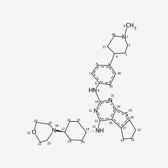 CN1CCC(c2ccc(Nc3nc(N[C@H]4CC[C@H](N5CCOCC5)CC4)c4c5c(sc4n3)CCC5)cc2)CC1